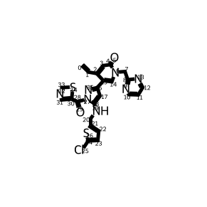 C=Cc1cc(=O)n(Cc2ncccn2)cc1-c1cc(NCc2ccc(Cl)s2)n(C(=O)c2cncs2)n1